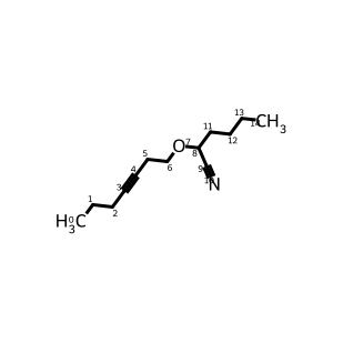 CCCC#CCCOC(C#N)CCCC